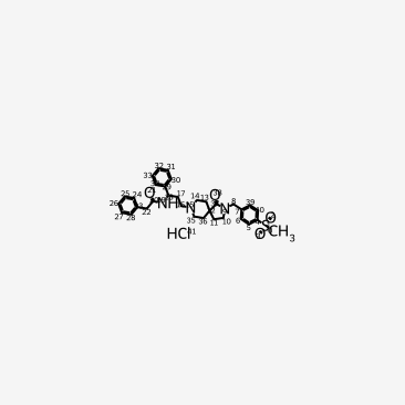 CS(=O)(=O)c1ccc(CN2CCC3(CCN(CCC(NC(=O)Cc4ccccc4)c4ccccc4)CC3)C2=O)cc1.Cl